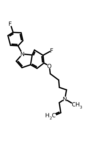 C=CCN(C)CCCCOc1cc2ccn(-c3ccc(F)cc3)c2cc1F